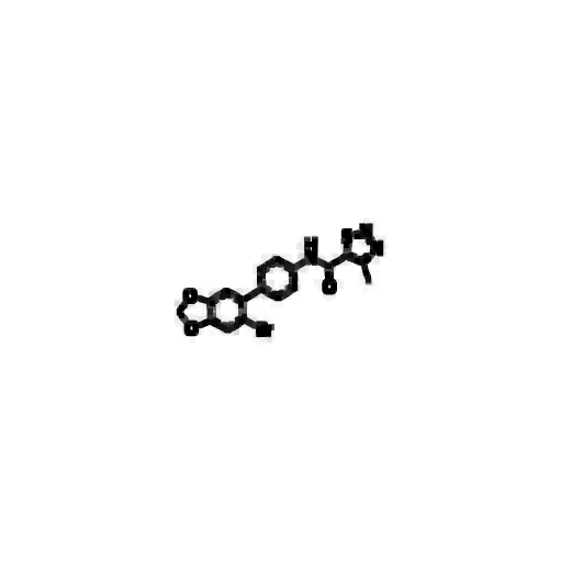 Cc1nnsc1C(=O)Nc1ccc(-c2cc3c(cc2Br)OCO3)cc1